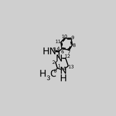 C[C@H]1CN(C(=N)c2ccccc2)CCN1